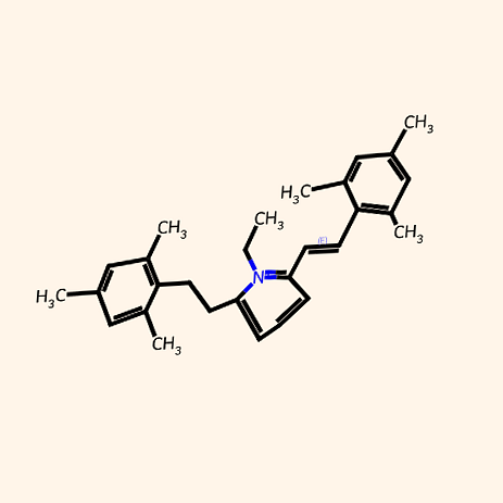 CC[n+]1c(/C=C/c2c(C)cc(C)cc2C)cccc1CCc1c(C)cc(C)cc1C